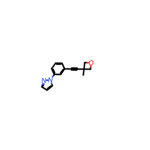 CC1(C#Cc2cccc(-n3cccn3)c2)COC1